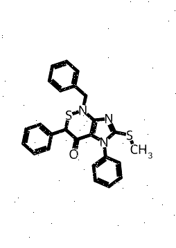 CSc1nc2c(n1-c1ccccc1)C(=O)C(c1ccccc1)SN2Cc1ccccc1